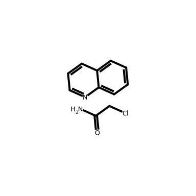 NC(=O)CCl.c1ccc2ncccc2c1